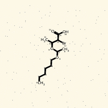 CCCCCCOC(C)OC(C)C(Br)C(=O)O